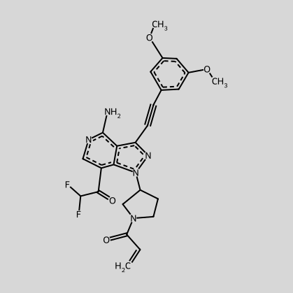 C=CC(=O)N1CCC(n2nc(C#Cc3cc(OC)cc(OC)c3)c3c(N)ncc(C(=O)C(F)F)c32)C1